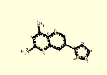 Cc1cc(N)nc2cc(-c3ccsn3)cnc12